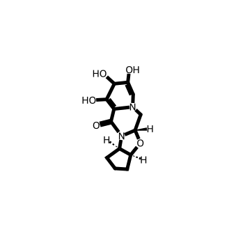 O=C1C2=C(O)C(O)C(O)=CN2C[C@@H]2O[C@H]3CCC[C@H]3N12